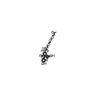 CC(=O)CCOCCOCCOCCNC(=S)Nc1ccc2c(c1)C(=O)OC21c2ccc(O)cc2Oc2cc(O)ccc21